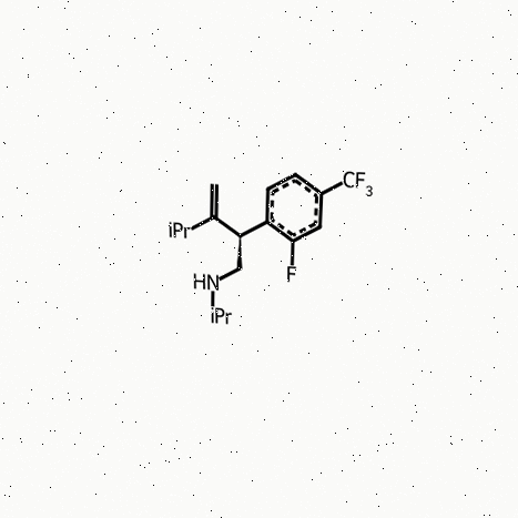 C=C(C(C)C)[C@H](CNC(C)C)c1ccc(C(F)(F)F)cc1F